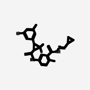 C=C(N/N=C/C1CC1)c1cc(NC(=C)C2C(c3cc(C)cc(Cl)c3)C2(C)C)ccc1C